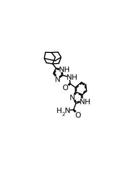 NC(=O)c1nc2c(C(=O)Nc3ncc(C45CC6CC(CC(C6)C4)C5)[nH]3)cccc2[nH]1